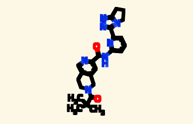 CC(C)(C)C(=O)N1CCc2cnc(C(=O)Nc3cccc(-c4nnc5n4CCC5)n3)cc2C1